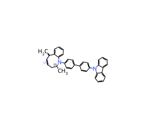 C=C1/C=C\C[C@H](C)N(c2ccc(-c3ccc(-n4c5ccccc5c5ccccc54)cc3)cc2)c2ccccc21